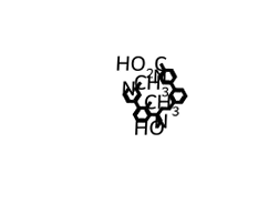 Cc1cc(-c2cccc(/C(CCc3cccc(-c4ccc(C(=O)O)nc4)c3)=N\O)c2C)ccn1